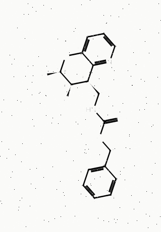 C[C@@H]1[C@H](CNC(=O)OCc2ccccc2)c2ncccc2O[C@@H]1C